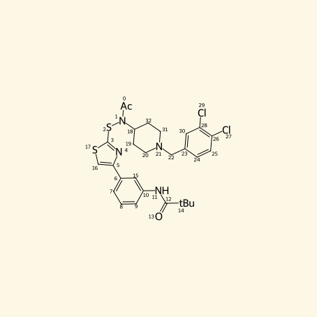 CC(=O)N(Sc1nc(-c2cccc(NC(=O)C(C)(C)C)c2)cs1)C1CCN(Cc2ccc(Cl)c(Cl)c2)CC1